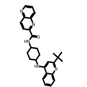 CC(C)(C)c1cc(NC2CCC(NC(=O)c3ccc4ncccc4n3)CC2)c2ccccc2n1